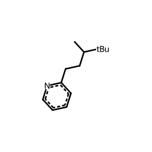 CC(CCc1ccccn1)C(C)(C)C